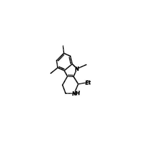 CCC1NCCc2c1n(C)c1cc(C)cc(C)c21